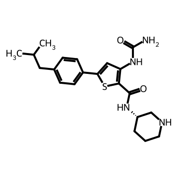 CC(C)Cc1ccc(-c2cc(NC(N)=O)c(C(=O)N[C@H]3CCCNC3)s2)cc1